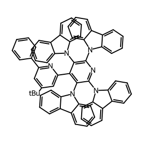 CC(C)(C)c1cc(-c2ccccc2)nc(-c2c(-n3c4ccccc4c4ccccc43)c(-n3c4ccccc4c4ccccc43)nc(-n3c4ccccc4c4ccccc43)c2-n2c3ccccc3c3ccccc32)c1